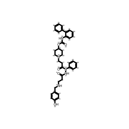 O=C(CCNCc1ccc(O)cc1)NN(C(=O)CCN1CCC(OC(=O)Nc2ccccc2-c2ccccc2)CC1)c1ccccc1